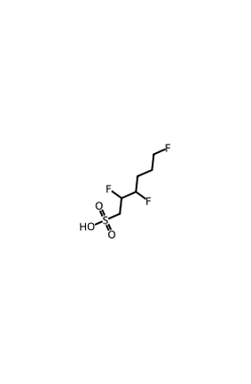 O=S(=O)(O)CC(F)C(F)CCCF